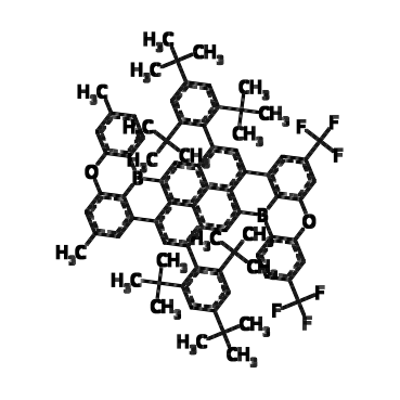 Cc1ccc2c(c1)Oc1cc(C)cc3c1B2c1cc2c(-c4c(C(C)(C)C)cc(C(C)(C)C)cc4C(C)(C)C)cc4c5c(cc6c(-c7c(C(C)(C)C)cc(C(C)(C)C)cc7C(C)(C)C)cc-3c1c6c25)B1c2ccc(C(F)(F)F)cc2Oc2cc(C(F)(F)F)cc-4c21